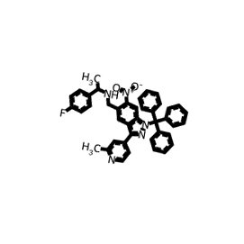 Cc1cc(-c2nn(C(c3ccccc3)(c3ccccc3)c3ccccc3)c3cc([N+](=O)[O-])c(CNC(C)c4ccc(F)cc4)cc23)ccn1